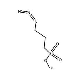 CC(C)OS(=O)(=O)CCCN=[N+]=[N-]